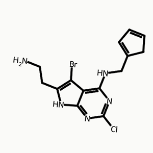 NCCc1[nH]c2nc(Cl)nc(NCC3=CC=CC3)c2c1Br